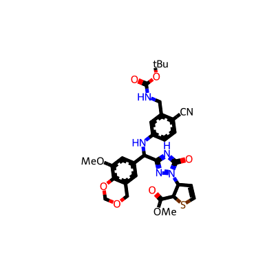 COC(=O)C1SC=CC1n1nc(C(Nc2ccc(C#N)c(CNC(=O)OC(C)(C)C)c2)c2cc3c(c(OC)c2)OCOC3)[nH]c1=O